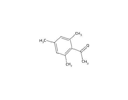 CC(=O)c1c(C)cc(C)cc1C